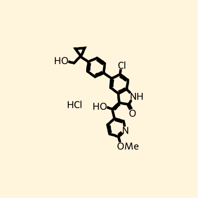 COc1ccc(/C(O)=C2\C(=O)Nc3cc(Cl)c(-c4ccc(C5(CO)CC5)cc4)cc32)cn1.Cl